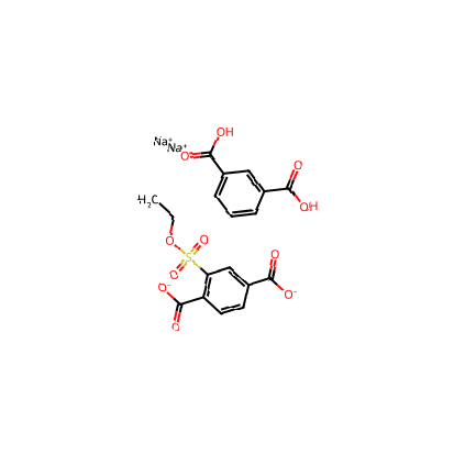 O=C(O)c1cccc(C(=O)O)c1.[CH2]COS(=O)(=O)c1cc(C(=O)[O-])ccc1C(=O)[O-].[Na+].[Na+]